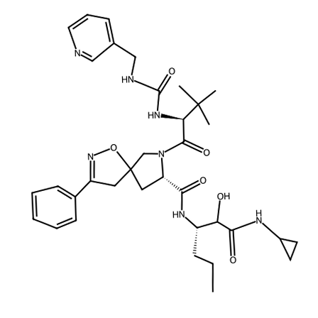 CCC[C@H](NC(=O)[C@@H]1CC2(CC(c3ccccc3)=NO2)CN1C(=O)[C@@H](NC(=O)NCc1cccnc1)C(C)(C)C)C(O)C(=O)NC1CC1